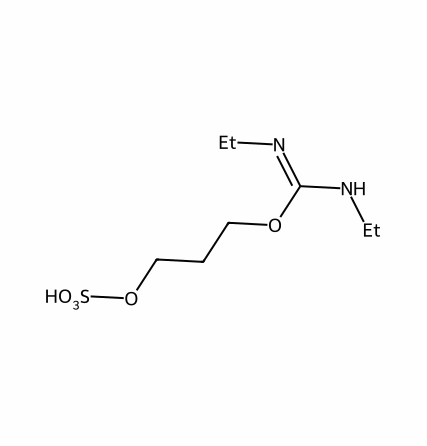 CC/N=C(/NCC)OCCCOS(=O)(=O)O